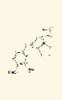 COc1ccc(CNCC2(N3CCCC3)COC2)cc1OC